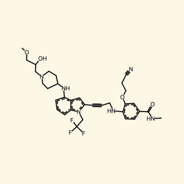 CNC(=O)c1ccc(NCC#Cc2cc3c(NC4CCN(CC(O)COC)CC4)cccc3n2CC(F)(F)F)c(OCCC#N)c1